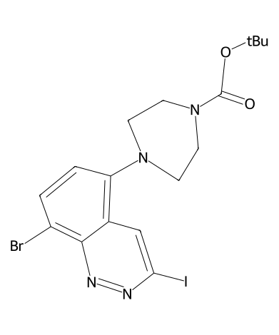 CC(C)(C)OC(=O)N1CCN(c2ccc(Br)c3nnc(I)cc23)CC1